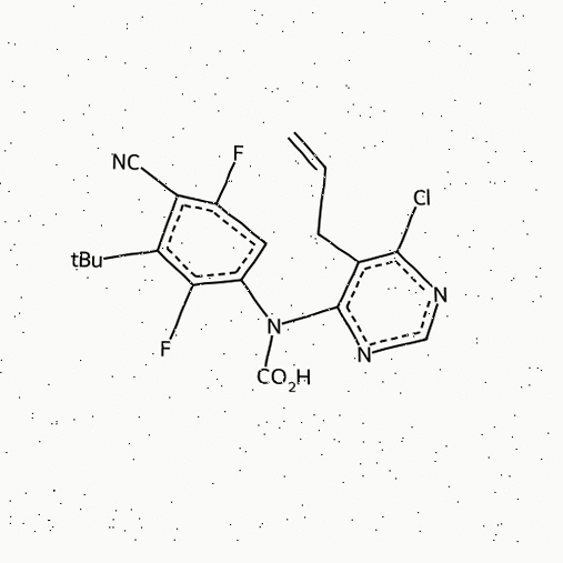 C=CCc1c(Cl)ncnc1N(C(=O)O)c1cc(F)c(C#N)c(C(C)(C)C)c1F